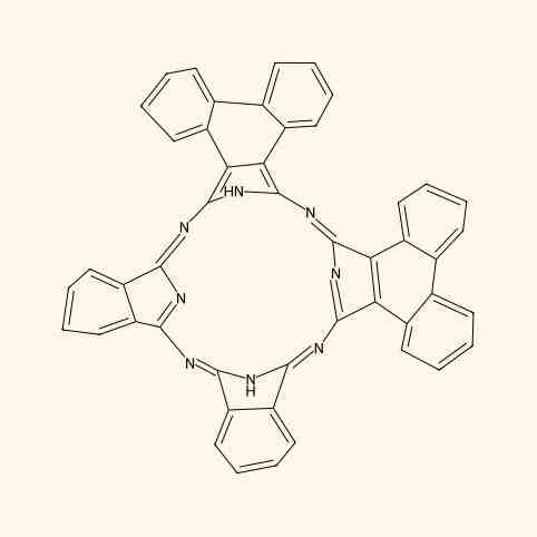 c1ccc2c(c1)-c1nc-2nc2[nH]c(nc3nc(nc4[nH]c(n1)c1ccccc41)-c1c-3c3ccccc3c3ccccc13)c1c3ccccc3c3ccccc3c21